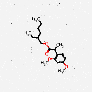 CCCCC(CC)COC(=O)C(C)c1ccc(OC)cc1OC